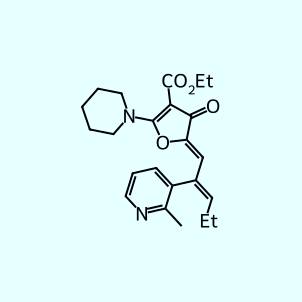 CC/C=C(/C=C1\OC(N2CCCCC2)=C(C(=O)OCC)C1=O)c1cccnc1C